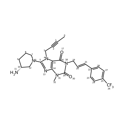 CC#CCn1c(N2CCC[C@@H](N)C2)nc2c1c(=O)n(C/C=C/c1ccc(C(F)(F)F)cc1)c(=O)n2C